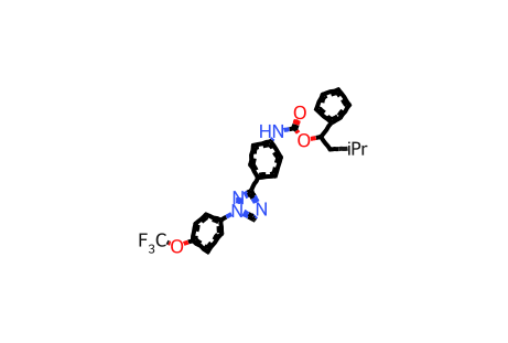 CC(C)CC(OC(=O)Nc1ccc(-c2ncn(-c3ccc(OC(F)(F)F)cc3)n2)cc1)c1ccccc1